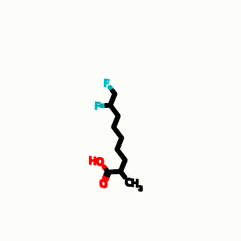 CC(CCCCCC(F)CF)C(=O)O